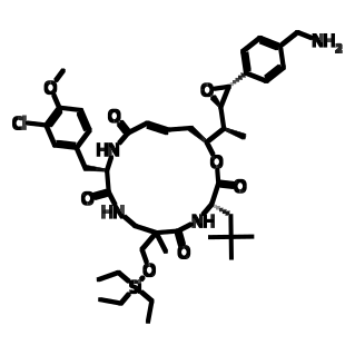 CC[Si](CC)(CC)OCC1(C)CNC(=O)[C@@H](Cc2ccc(OC)c(Cl)c2)NC(=O)/C=C/C[C@@H]([C@H](C)[C@H]2O[C@@H]2c2ccc(CN)cc2)OC(=O)[C@H](CC(C)(C)C)NC1=O